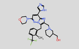 Cc1c(Cc2c(CN3CCCC(CO)C3)nc3c(-c4cnc[nH]4)cc(N4CCOCC4)nn23)cccc1C(F)(F)F